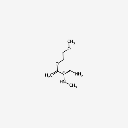 C=C(OCCOC)[C@@H](CN)NC